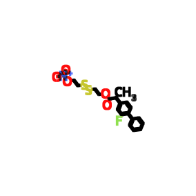 CC(C(=O)OCCSSCCO[N+](=O)[O-])c1ccc(-c2ccccc2)c(F)c1